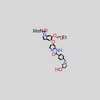 CCOCCOc1cc2c(ccn2C(=O)NC)cc1Oc1ccnc(NC(=O)c2ccc(CN3CCC(O)C3)cc2)c1